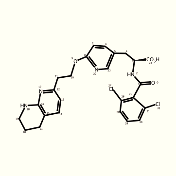 O=C(N[C@@H](Cc1ccc(OCCc2ccc3c(n2)NCCC3)nc1)C(=O)O)c1c(Cl)cccc1Cl